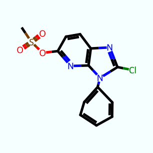 CS(=O)(=O)Oc1ccc2nc(Cl)n(-c3ccccc3)c2n1